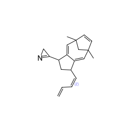 C=C/C=C\C1CC(C2=NC2)C2=CC3(C)C=CC(C)(C=C21)C3